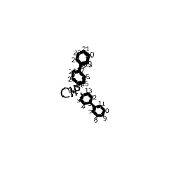 ClP(c1ccc(-c2ccccc2)cc1)c1ccc(-c2ccccc2)cc1